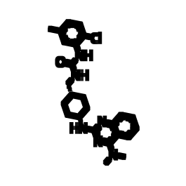 Cc1ccc(Cl)c(NC(=O)NC[C@H]2CC[C@@H](Nc3nc(N(C)C)c4ccccc4n3)CC2)c1